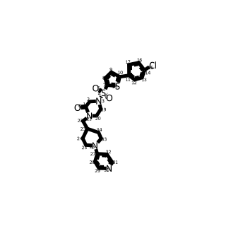 O=C1CN(S(=O)(=O)c2ccc(-c3ccc(Cl)cc3)s2)CCN1CC1CCN(c2ccncc2)CC1